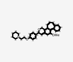 COc1cc2c(c3c1=c1ccccc1=CC=C3)COC(c1ccc(OCCN3CCCCC3)cc1)C=2